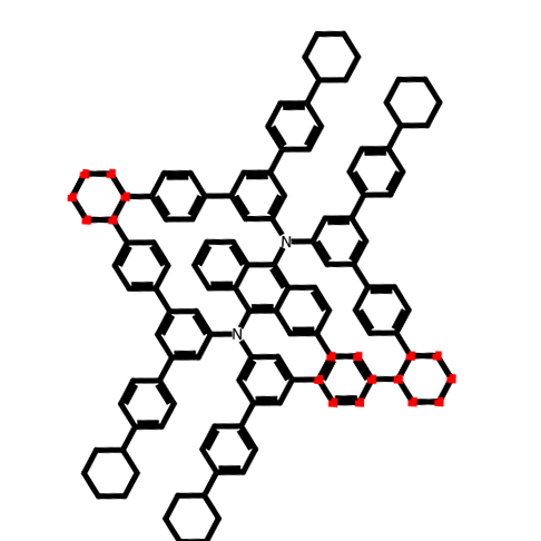 c1ccc(-c2ccc3c(N(c4cc(-c5ccc(C6CCCCC6)cc5)cc(-c5ccc(C6CCCCC6)cc5)c4)c4cc(-c5ccc(C6CCCCC6)cc5)cc(-c5ccc(C6CCCCC6)cc5)c4)c4ccccc4c(N(c4cc(-c5ccc(C6CCCCC6)cc5)cc(-c5ccc(C6CCCCC6)cc5)c4)c4cc(-c5ccc(C6CCCCC6)cc5)cc(-c5ccc(C6CCCCC6)cc5)c4)c3c2)cc1